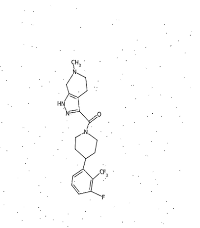 CN1CCc2c(C(=O)N3CCC(c4cccc(F)c4C(F)(F)F)CC3)n[nH]c2C1